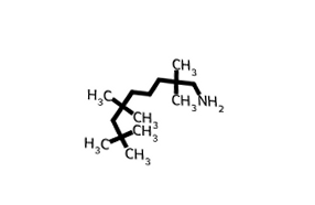 CC(C)(C)CC(C)(C)CCCC(C)(C)CN